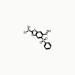 CCN(CC)c1nc2cc(S(=O)(=O)c3ccccc3)c(N=N)cc2s1